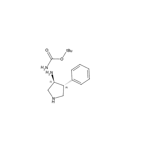 CC(C)(C)OC(N)=O.N[C@@H]1CNC[C@H]1c1ccccc1